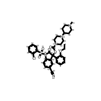 CCOc1ccccc1C1(OC(=O)N2CCN(C3CCN(C)CC3)CC2)C(=O)N(S(=O)(=O)c2ccccc2Cl)c2ccc(C#N)cc21